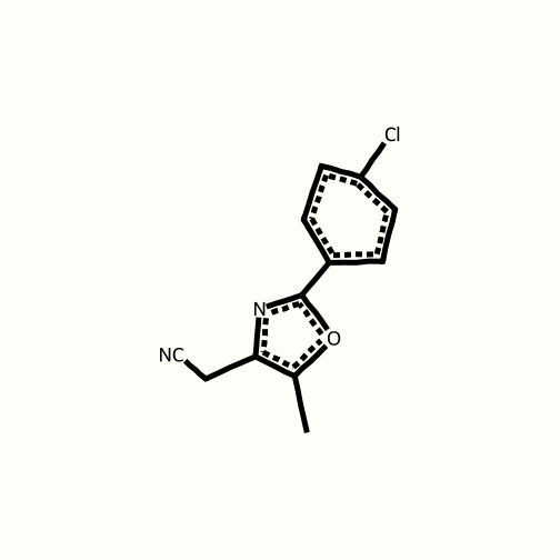 Cc1oc(-c2ccc(Cl)cc2)nc1CC#N